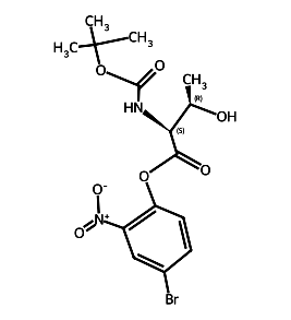 C[C@@H](O)[C@H](NC(=O)OC(C)(C)C)C(=O)Oc1ccc(Br)cc1[N+](=O)[O-]